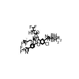 BC(B)(B)n1cnc(-c2cc([C@@H](COC(=O)NC(C)(C)C(F)F)N(C(=N)NCC[C@]3(C)CC3(F)F)C(=O)c3ccc(-c4cnn(C(F)F)c4)cc3)ccc2Cl)n1